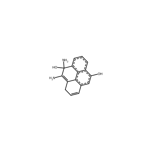 NC1=C2CC=Cc3cc(O)c4cccc(c4c32)C1(N)O